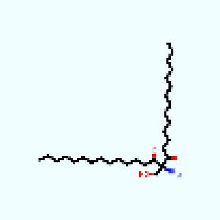 CCCCCCCCCCCCCC(=O)C(N)(CO)C(=O)CCCCCCCCCCCCC